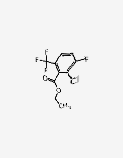 CCOC(=O)c1c(C(F)(F)F)ccc(F)c1Cl